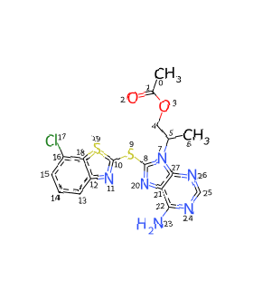 CC(=O)OCC(C)n1c(Sc2nc3cccc(Cl)c3s2)nc2c(N)ncnc21